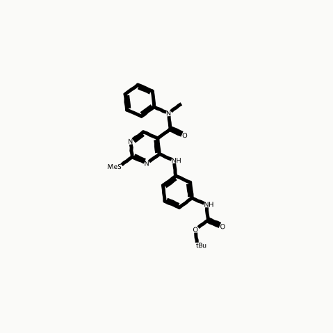 CSc1ncc(C(=O)N(C)c2ccccc2)c(Nc2cccc(NC(=O)OC(C)(C)C)c2)n1